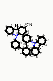 N#CC1=C[C@H]2c3ccccc3N(c3cccc(-c4ccc(C#N)cc4-c4ccccc4-n4c5c#cccc5c5ccccc54)c3)C2C=C1